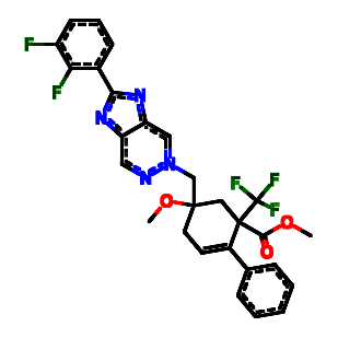 COC(=O)C1(C(F)(F)F)CC(Cn2cc3nc(-c4cccc(F)c4F)nc-3cn2)(OC)CC=C1c1ccccc1